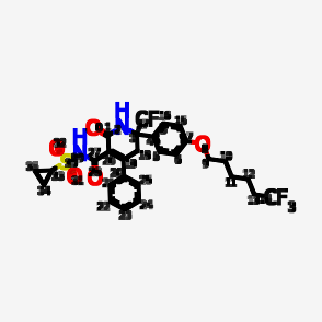 O=C1N[C@@](c2ccc(OCCCCCC(F)(F)F)cc2)(C(F)(F)F)CC(c2ccccc2)=C1C(=O)NS(=O)(=O)C1CC1